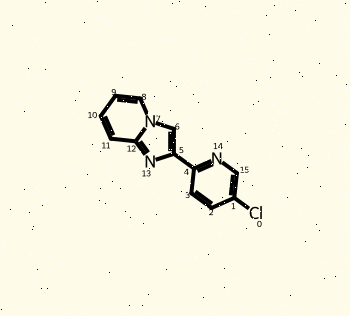 Clc1ccc(-c2cn3ccccc3n2)nc1